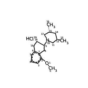 COc1cccc2c1CC(N1C[C@H](C)C[C@@H](C)C1)CC2.Cl